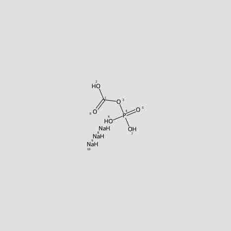 O=C(O)OP(=O)(O)O.[NaH].[NaH].[NaH]